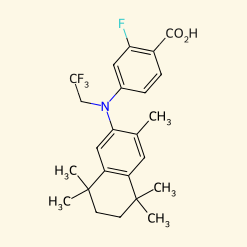 Cc1cc2c(cc1N(CC(F)(F)F)c1ccc(C(=O)O)c(F)c1)C(C)(C)CCC2(C)C